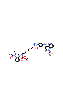 CCC(=O)N1c2ccccc2[C@H](N(CCCCCCCC(=O)Nc2ccc(N[C@@H]3C[C@H](C)N(C(=O)CC)c4ccccc43)cc2)C(=O)OC(C)(C)C)C[C@@H]1C